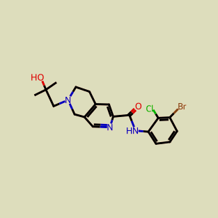 CC(C)(O)CN1CCc2cc(C(=O)Nc3cccc(Br)c3Cl)ncc2C1